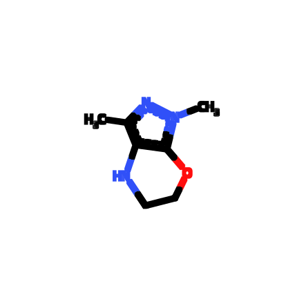 Cc1nn(C)c2c1NCCO2